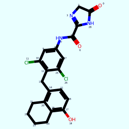 O=C1CN=C(C(=O)Nc2cc(Cl)c(Cc3ccc(O)c4c3CCCC4)c(Cl)c2)N1